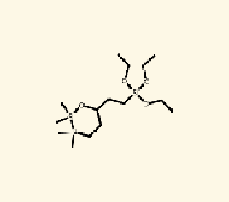 CCO[Si](CCC1CC[Si](C)(C)[Si](C)(C)O1)(OCC)OCC